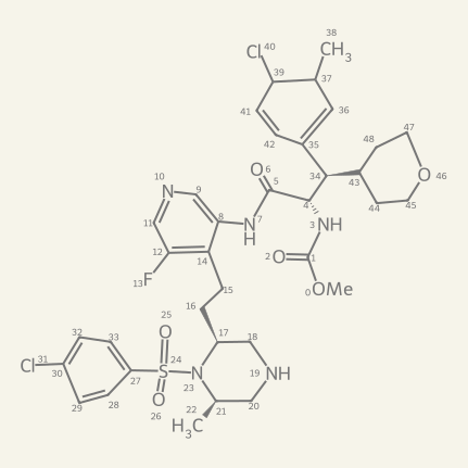 COC(=O)N[C@H](C(=O)Nc1cncc(F)c1CC[C@H]1CNC[C@@H](C)N1S(=O)(=O)c1ccc(Cl)cc1)[C@@H](C1=CC(C)C(Cl)C=C1)C1CCOCC1